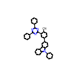 N#Cc1ccc(-c2ccc3c(c2)c2ccccc2n3-c2ccccc2)cc1-c1nc(-c2ccccc2)nc(-c2ccccc2)n1